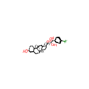 C[C@]12CC[C@H](O)CC1CC[C@@H]1C2CC[C@@]2(C)C1CCC2[C@H](O)[C@@H](O)[C@@H](O)c1ccc(F)cc1